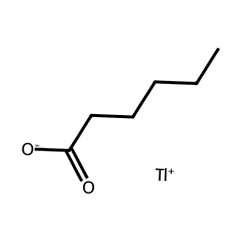 CCCCCC(=O)[O-].[Tl+]